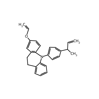 C=COc1ccc2c(c1)CCc1ccccc1N2c1ccc(C(C)C=C)cc1